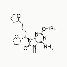 CCCCOc1nc(N)c2[nH]c(=O)n(C(CCCC3CCCO3)C3CCCO3)c2n1